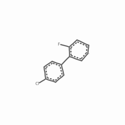 Fc1cc[c]cc1-c1ccc(Cl)cc1